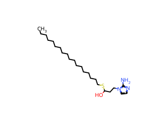 CCCCCCCCCCCCCCCCCCSC(O)CCn1ccnc1N